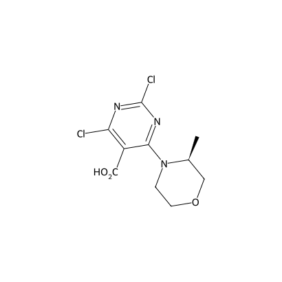 C[C@H]1COCCN1c1nc(Cl)nc(Cl)c1C(=O)O